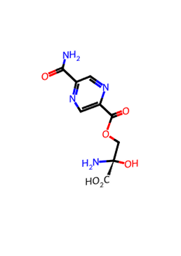 NC(=O)c1cnc(C(=O)OC[C@@](N)(O)C(=O)O)cn1